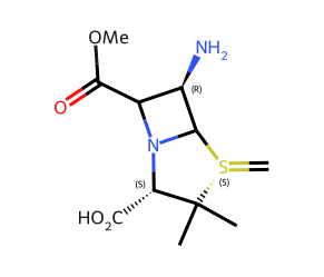 C=[S@]1C2[C@H](N)C(C(=O)OC)N2[C@@H](C(=O)O)C1(C)C